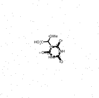 COC(C(=O)O)n1c(=O)[nH]c(=O)[nH]c1=O